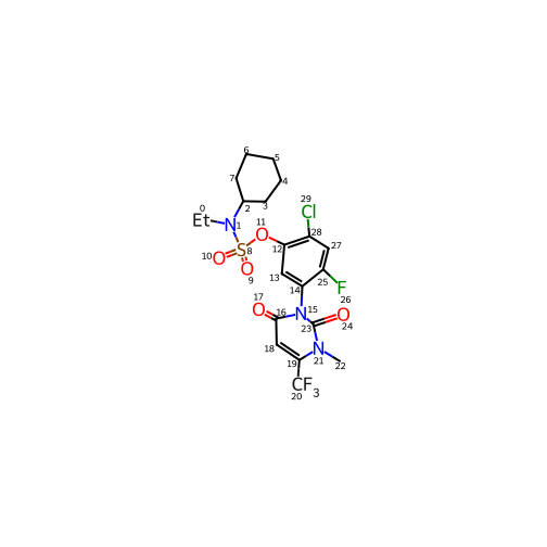 CCN(C1CCCCC1)S(=O)(=O)Oc1cc(-n2c(=O)cc(C(F)(F)F)n(C)c2=O)c(F)cc1Cl